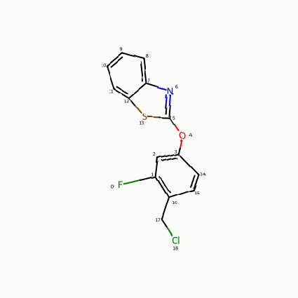 Fc1cc(Oc2nc3ccccc3s2)ccc1CCl